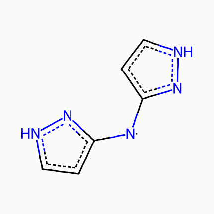 c1cc([N]c2cc[nH]n2)n[nH]1